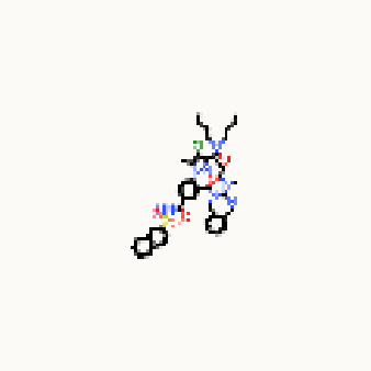 CCCCN(CCCC)C(=O)c1nn(-c2ccc(C(=O)NS(=O)(=O)c3ccc4ccccc4c3)cc2C(=O)N2Cc3ccccc3CN=C2N(C)CCC)c(C)c1Cl